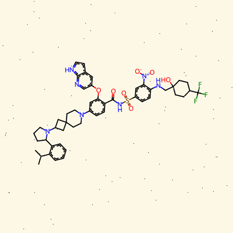 CC(C)c1ccccc1C1CCCN1C1CC2(CCN(c3ccc(C(=O)NS(=O)(=O)c4ccc(NCC5(O)CCC(C(F)(F)F)CC5)c([N+](=O)[O-])c4)c(Oc4cnc5[nH]ccc5c4)c3)CC2)C1